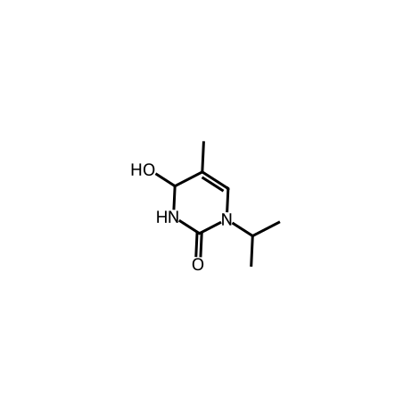 CC1=CN(C(C)C)C(=O)NC1O